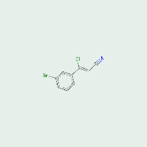 N#CC=C(Cl)c1cccc(Br)c1